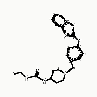 CCNC(=O)NC1CCN(Cc2ccc(Oc3nc4ccccc4s3)cc2)CC1